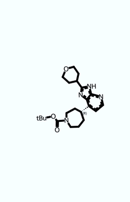 CC(C)(C)OC(=O)N1CCC[C@@H](c2ccnc3[nH]c(C4CCOCC4)nc23)CC1